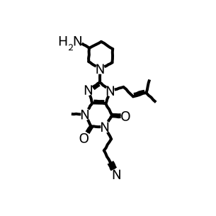 CC(C)=CCn1c(N2CCCC(N)C2)nc2c1c(=O)n(CCC#N)c(=O)n2C